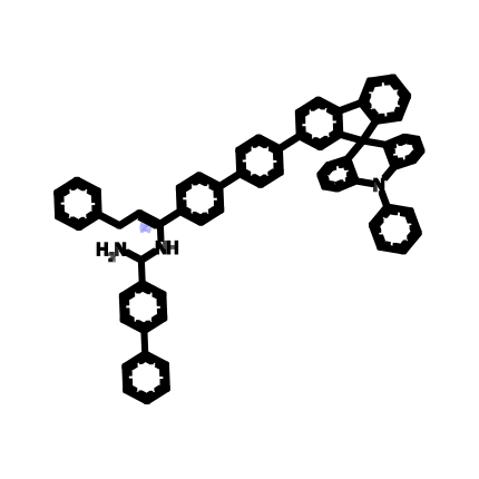 NC(N/C(=C\Cc1ccccc1)c1ccc(-c2ccc(-c3ccc4c(c3)C3(c5ccccc5-4)c4ccccc4N(c4ccccc4)c4ccccc43)cc2)cc1)c1ccc(-c2ccccc2)cc1